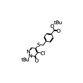 CC(C)(C)OC(=O)c1ccc(CSc2cnn(C(C)(C)C)c(=O)c2Cl)cc1